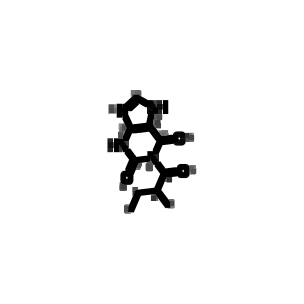 CCC(C)C(=O)n1c(=O)[nH]c2nc[nH]c2c1=O